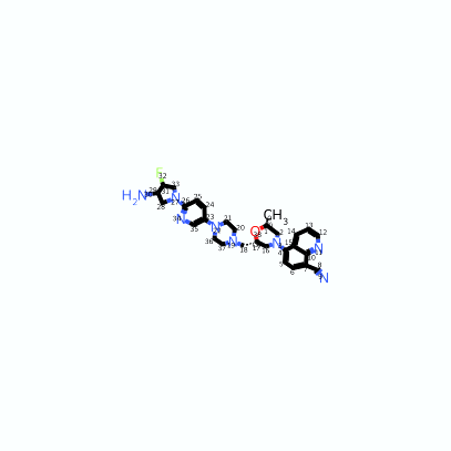 C[C@@H]1CN(c2ccc(C#N)c3ncccc23)C[C@H](CN2CCN(c3ccc(N4CC(N)C(F)C4)nc3)CC2)O1